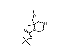 COCC1(C)CNCCN1C(=O)OC(C)(C)C